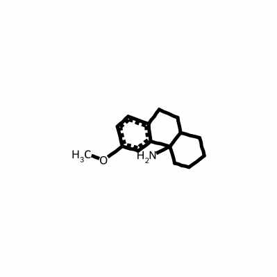 COc1ccc2c(c1)C1(N)CCCCC1CC2